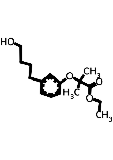 CCOC(=O)C(C)(C)Oc1cccc(CCCCO)c1